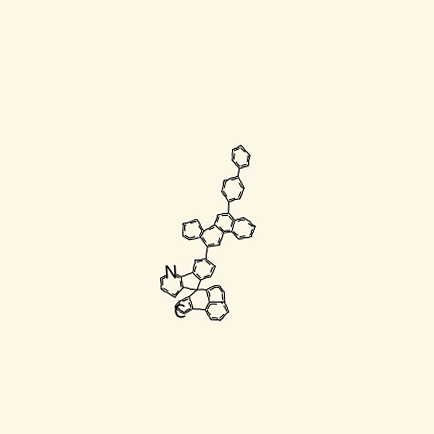 c1ccc(-c2ccc(-c3cc4c5ccccc5c(-c5ccc6c(c5)-c5ncccc5C65c6ccccc6-c6cccc7cccc5c67)cc4c4ccccc34)cc2)cc1